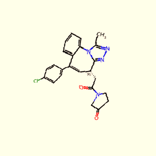 Cc1nnc2n1-c1ccccc1C(c1ccc(Cl)cc1)=C[C@H]2CC(=O)N1CCC(=O)C1